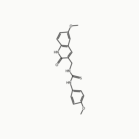 COc1ccc(NC(=S)NCc2cc3cc(OC)ccc3[nH]c2=O)cc1